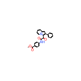 COC(=O)c1ccc(NC(=O)C(=O)c2c(-c3ccccc3)cc3ccccn23)cc1